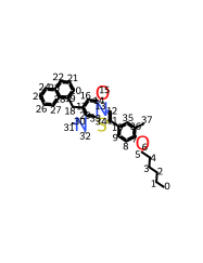 CCCCCCOc1ccc(-c2cn3c(=O)cc(Cc4cccc5ccccc45)c(N(C)C)c3s2)cc1C